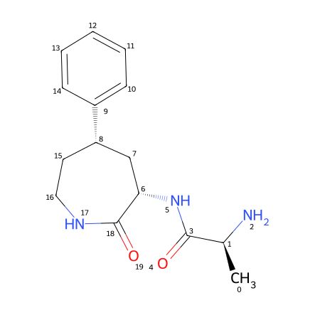 C[C@H](N)C(=O)N[C@H]1C[C@@H](c2ccccc2)CCNC1=O